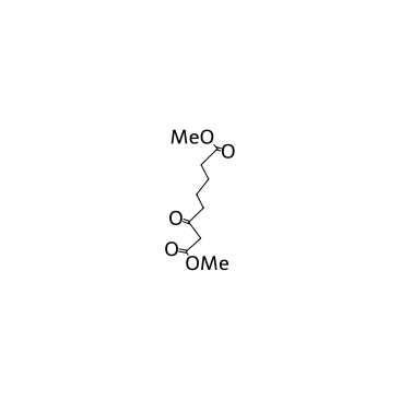 COC(=O)CCCCC(=O)CC(=O)OC